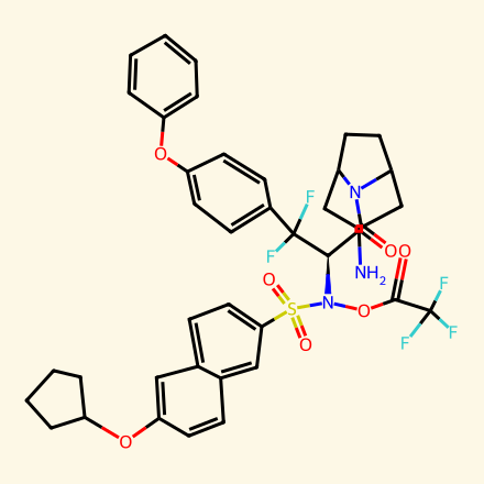 NC1CC2CCC(C1)N2C(=O)[C@@H](N(OC(=O)C(F)(F)F)S(=O)(=O)c1ccc2cc(OC3CCCC3)ccc2c1)C(F)(F)c1ccc(Oc2ccccc2)cc1